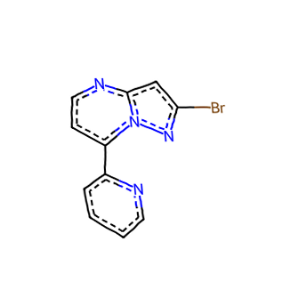 Brc1cc2nccc(-c3ccccn3)n2n1